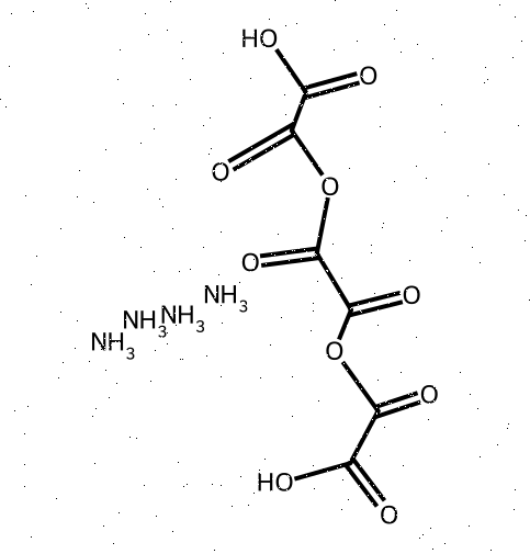 N.N.N.N.O=C(O)C(=O)OC(=O)C(=O)OC(=O)C(=O)O